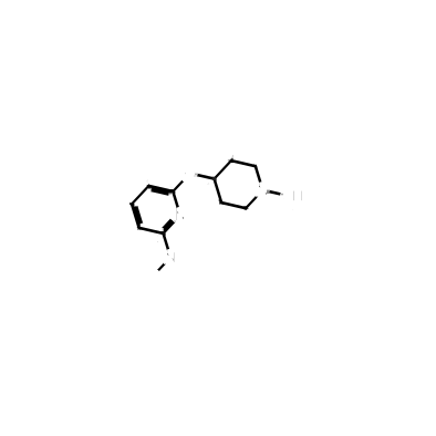 CCNc1cccc(OC2CCN(C)CC2)n1